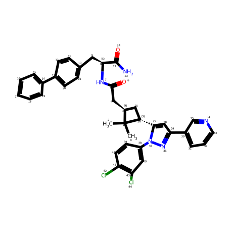 CC1(C)[C@@H](CC(=O)N[C@@H](Cc2ccc(-c3ccccc3)cc2)C(N)=O)C[C@@H]1c1cc(-c2cccnc2)nn1-c1ccc(Cl)c(Cl)c1